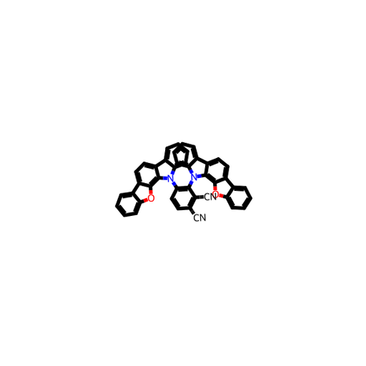 N#Cc1ccc(-n2c3ccccc3c3ccc4c5ccccc5oc4c32)c(-n2c3ccccc3c3ccc4c5ccccc5oc4c32)c1C#N